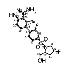 Cc1cc(S(=O)(=O)N2C[C@@H](F)C[C@H]2CO)ccc1-c1ccc2[nH]nc(N)c2c1C